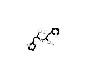 CC(Cc1ccco1)OC(C)Cc1ccco1